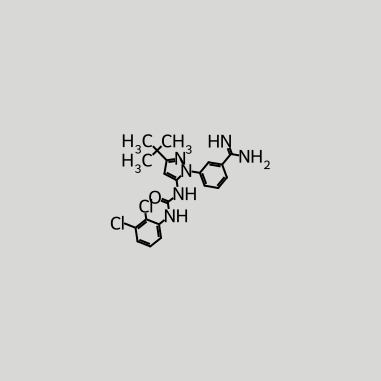 CC(C)(C)c1cc(NC(=O)Nc2cccc(Cl)c2Cl)n(-c2cccc(C(=N)N)c2)n1